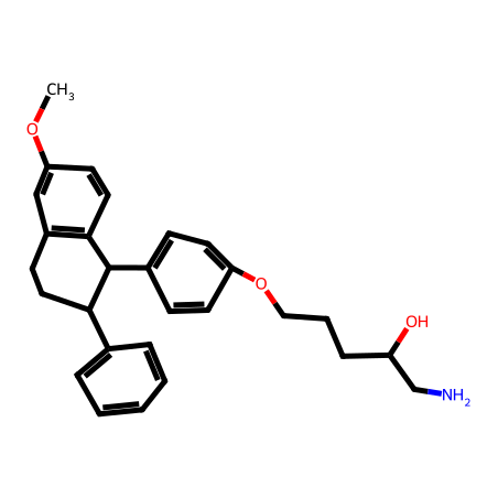 COc1ccc2c(c1)CCC(c1ccccc1)C2c1ccc(OCCCC(O)CN)cc1